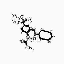 CC(=O)Nc1ccc(C(C)(C)C)cc1CN(C)C1CCCCC1